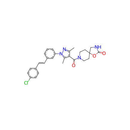 Cc1nn(-c2cccc(C=Cc3ccc(Cl)cc3)c2)c(C)c1C(=O)N1CCC2(CC1)CNC(=O)O2